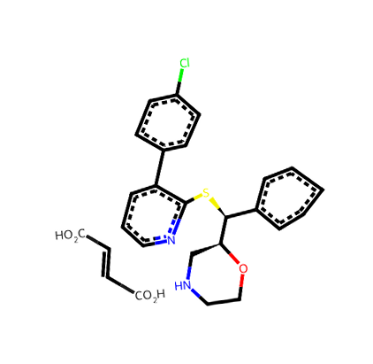 Clc1ccc(-c2cccnc2S[C@@H](c2ccccc2)[C@@H]2CNCCO2)cc1.O=C(O)C=CC(=O)O